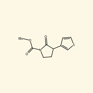 CC(C)(C)OC(=O)N1CCC(c2ccsc2)C1=O